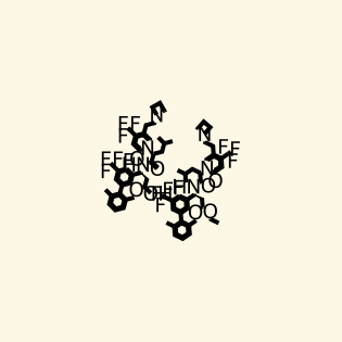 CCOC(=O)C[C@H](NC(=O)C(CC(C)C)n1cc(CCN2CCC2)c(C(F)(F)F)cc1=O)c1cc(-c2c(C)cccc2C)cc(C(F)(F)F)c1F.Cc1cccc(C)c1-c1cc([C@H](CC(=O)O)NC(=O)C(CC(C)C)n2cc(CCN3CCC3)c(C(F)(F)F)cc2=O)c(F)c(C(F)(F)F)c1